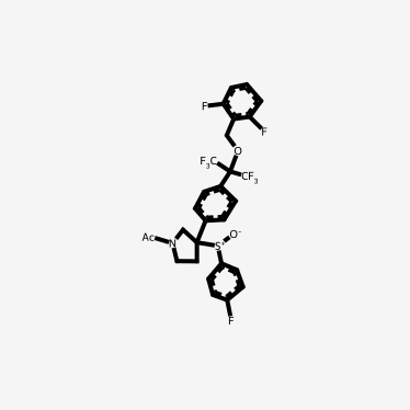 CC(=O)N1CCC(c2ccc(C(OCc3c(F)cccc3F)(C(F)(F)F)C(F)(F)F)cc2)([S+]([O-])c2ccc(F)cc2)C1